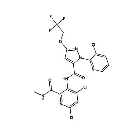 CNC(=O)c1nc(Cl)cc(Cl)c1NC(=O)c1cc(OCC(F)(F)F)nn1-c1ncccc1Cl